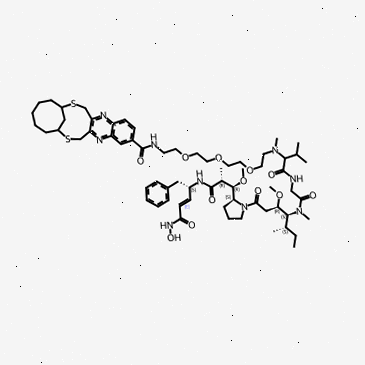 CC[C@H](C)[C@@H]([C@@H](CC(=O)N1CCC[C@H]1[C@H](OC)[C@@H](C)C(=O)N[C@H](/C=C/C(=O)NO)Cc1ccccc1)OC)N(C)C(=O)CNC(=O)C(C(C)C)N(C)CCOCCOCCOCCNC(=O)c1ccc2nc3c(nc2c1)CSC1CCCCCC(C1)SC3